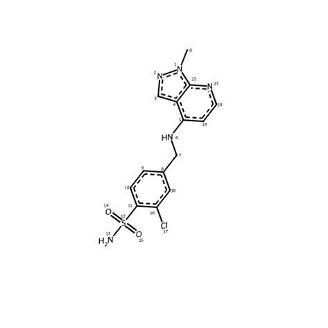 Cn1ncc2c(NCc3ccc(S(N)(=O)=O)c(Cl)c3)ccnc21